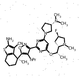 CCCc1c(-c2nc(O[C@@H](C)[C@@H]3C[C@@H](F)CN3C)cc(N3CC[C@H](N(C)C)C3)n2)noc1[C@@]1(C)CCCc2sc(N)c(C#N)c21